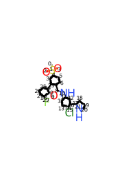 CS(=O)(=O)c1ccc(C(=O)Nc2ccc(Cl)c(-c3ccc[nH]3)c2)c(-c2cccc(F)c2)c1